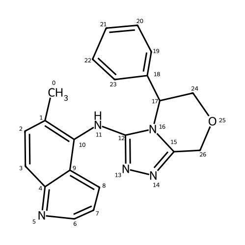 Cc1ccc2ncccc2c1Nc1nnc2n1C(c1ccccc1)COC2